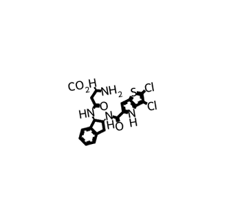 N[C@@H](CC(=O)N[C@@H]1c2ccccc2C[C@H]1NC(=O)c1cc2sc(Cl)c(Cl)c2[nH]1)C(=O)O